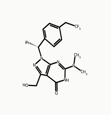 CC(C)[C@H](c1ccc(CC(F)(F)F)cc1)n1nc(CO)c2c(=O)[nH]c(N(C)C)nc21